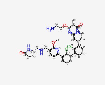 COc1nc(-c2cccc(-c3cccc(-c4ccn5c(=O)c(C)c(OCCN)nc5c4)c3Cl)c2Cl)ccc1CNC[C@@H]1CCC(=O)N1